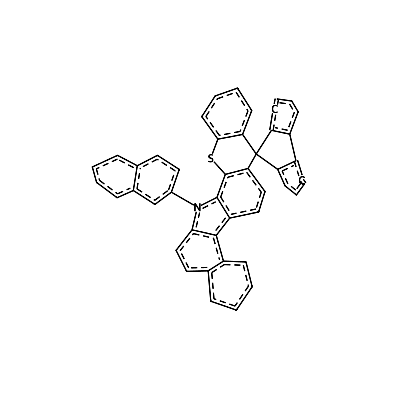 c1ccc2c(c1)Sc1c(ccc3c4c5ccccc5ccc4n(-c4ccc5ccccc5c4)c13)C21c2ccccc2-c2ccccc21